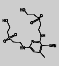 Cc1cc(NCCS(=O)(=O)CCO)nc(NCCS(=O)(=O)CCO)c1C#N